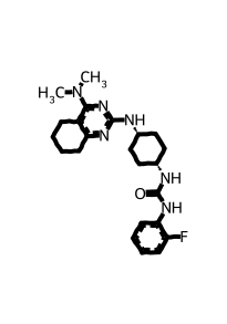 CN(C)c1nc(N[C@H]2CC[C@@H](NC(=O)Nc3ccccc3F)CC2)nc2c1CCCC2